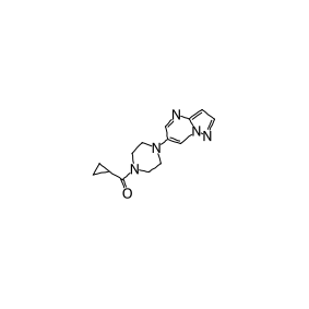 O=C(C1CC1)N1CCN(c2cnc3ccnn3c2)CC1